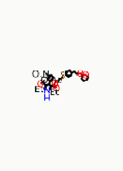 CCC1=C(C(=O)OC)C(c2cccc([N+](=O)[O-])c2)C(C(=O)OCCCSc2ccc(CCOC3CCCCO3)cc2)=C(CC)N1